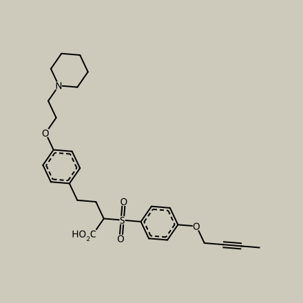 CC#CCOc1ccc(S(=O)(=O)C(CCc2ccc(OCCN3CCCCC3)cc2)C(=O)O)cc1